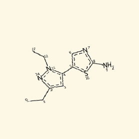 CCc1cc(-c2cnc(N)s2)n(CC)n1